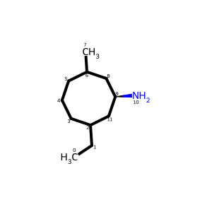 CCC1CCCC(C)C[C@@H](N)C1